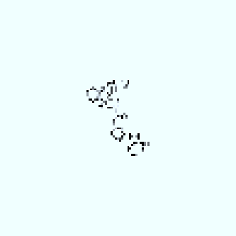 O=C(O)C[C@@H]1c2ccccc2[C@@H]2CN(C(=O)Cc3cccc(NC4=NCCCN4)c3)CC[C@H]12